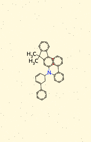 CC1(C)c2ccccc2-c2ccc(N(c3ccccc3-c3ccccc3)C3C=CC=C(c4ccccc4)C3)cc21